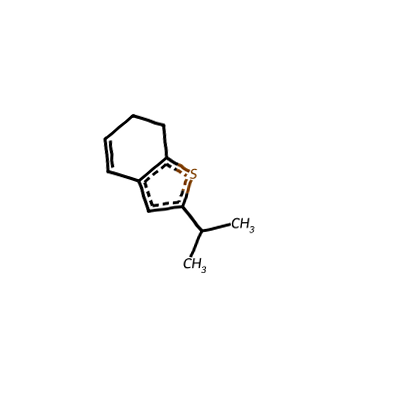 CC(C)c1cc2c(s1)CCC=C2